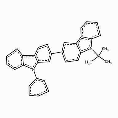 CC(C)(C)n1c2ccccc2c2cc(-c3ccc4c5ccccc5n(-c5ccccc5)c4c3)ccc21